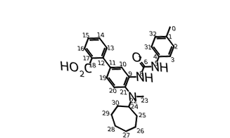 Cc1ccc(NC(=O)Nc2cc(-c3ccccc3C(=O)O)ccc2N(C)C2CCCCCC2)cc1